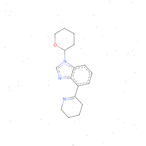 c1cc(C2=NCCCC2)c2ncn(C3CCCCO3)c2c1